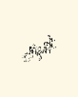 C/C=C(\Sc1cc(C)nn1C1CCCCC1)C(=O)NCCN(C)C(=O)N(C)C